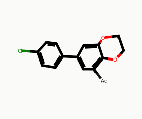 CC(=O)c1cc(-c2ccc(Cl)cc2)cc2c1OCCO2